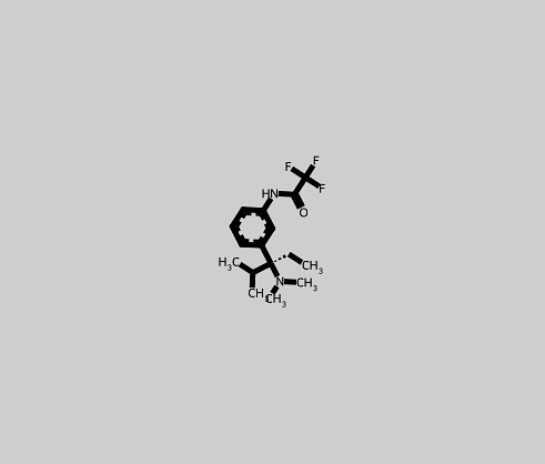 CC[C@@](c1cccc(NC(=O)C(F)(F)F)c1)(C(C)C)N(C)C